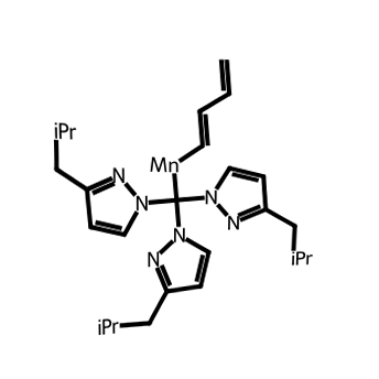 C=CC=[CH][Mn][C](n1ccc(CC(C)C)n1)(n1ccc(CC(C)C)n1)n1ccc(CC(C)C)n1